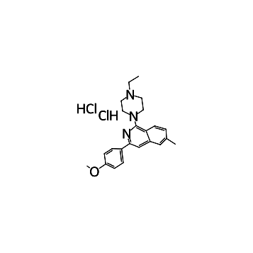 CCN1CCN(c2nc(-c3ccc(OC)cc3)cc3cc(C)ccc23)CC1.Cl.Cl